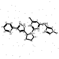 Cc1cc(Nc2cn(C)cn2)nc(N2CCCC2c2cc(-c3ccccn3)no2)n1